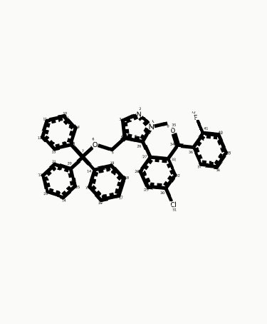 Cn1ncc(COC(c2ccccc2)(c2ccccc2)c2ccccc2)c1-c1ccc(Cl)cc1C(=O)c1ccccc1F